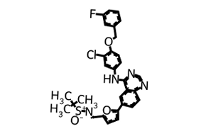 CC(C)(C)[S+]([O-])N=Cc1ccc(-c2ccc3ncnc(Nc4ccc(OCc5cccc(F)c5)c(Cl)c4)c3c2)o1